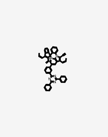 C#Cc1c(/C=C\C)c2c3n1-c1ccccc1C1(C(C=C)=C(/C=C\C)c4ccccc41)[PH]3=CC(c1cccc(-c3nc(-c4ccccc4)nc(-c4ccccc4)n3)c1)=C2